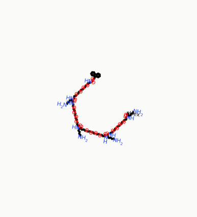 CCCCCCC(=O)C(CCCCN)NC(=O)CCOCCOCCOCCOCCNC(=O)C(CCCCN)NC(=O)CCOCCOCCOCCOCCCC(=O)C(CCCCN)NC(=O)CCOCCOCCOCCOCCNC(=O)C(CCCCN)NC(=O)CCOCCOCCOCCOCCNC(=O)OCC1c2ccccc2-c2ccccc21